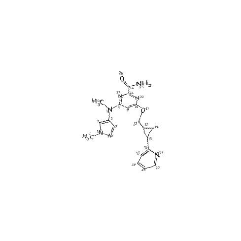 CN(c1cnn(C)c1)c1cc(OCC2CC2c2ccccn2)nc(C(N)=O)n1